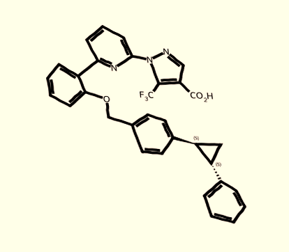 O=C(O)c1cnn(-c2cccc(-c3ccccc3OCc3ccc([C@H]4C[C@@H]4c4ccccc4)cc3)n2)c1C(F)(F)F